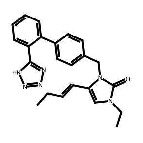 CCC=Cc1cn(CC)c(=O)n1Cc1ccc(-c2ccccc2-c2nnn[nH]2)cc1